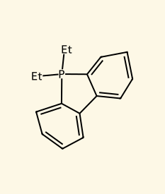 CC[P]1(CC)c2ccccc2-c2ccccc21